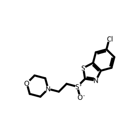 [O-][S+](CCN1CCOCC1)c1nc2ccc(Cl)cc2s1